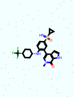 Cn1cc(-c2cc(S(=N)(=O)C3CC3)ccc2N[C@H]2CC[C@H](C(F)(F)F)CC2)c2cc[nH]c2c1=O